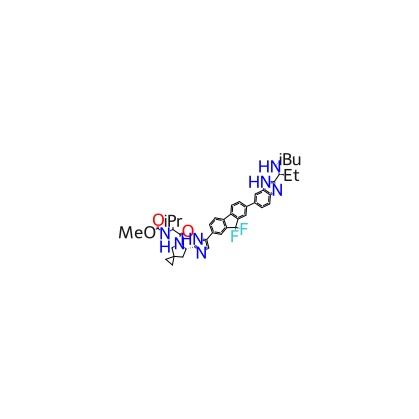 CC[C@@H](C)N[C@@H](CC)c1nc2ccc(-c3ccc4c(c3)C(F)(F)c3cc(-c5cnc([C@@H]6CC7(CC7)CN6C(=O)[C@@H](NC(=O)OC)C(C)C)[nH]5)ccc3-4)cc2[nH]1